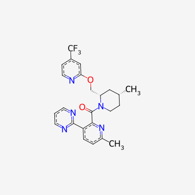 Cc1ccc(-c2ncccn2)c(C(=O)N2CC[C@@H](C)C[C@H]2COc2cc(C(F)(F)F)ccn2)n1